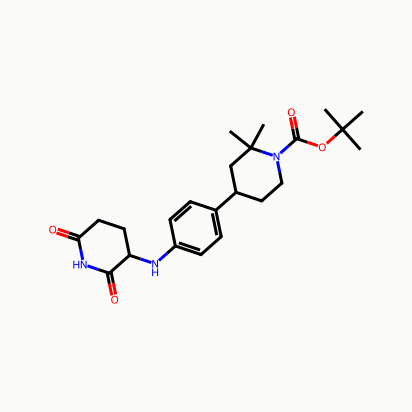 CC(C)(C)OC(=O)N1CCC(c2ccc(NC3CCC(=O)NC3=O)cc2)CC1(C)C